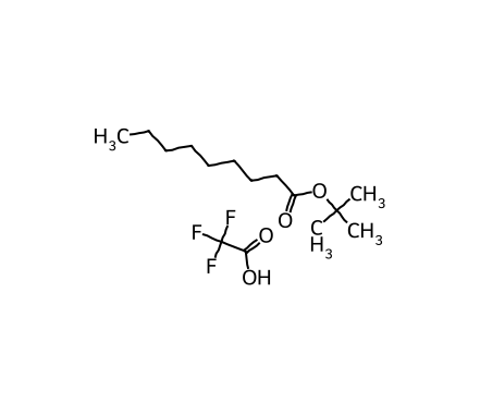 CCCCCCCCC(=O)OC(C)(C)C.O=C(O)C(F)(F)F